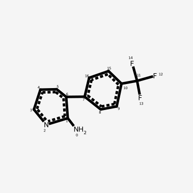 Nc1ncccc1-c1ccc(C(F)(F)F)cc1